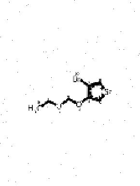 CCOCOc1cscc1Br